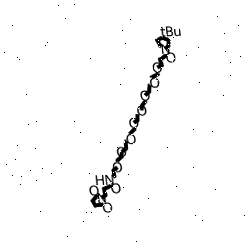 CC(C)(C)C1CCN(C(=O)CCOCCOCCOCCOCCOCCOCCOCCOCCNC(=O)CCN2C(=O)CCC2=O)CC1